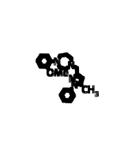 COc1ccccc1N1CCCN(Cc2cc(C)n(-c3ccccc3)n2)CC1